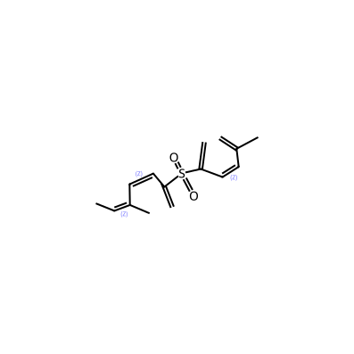 C=C(C)/C=C\C(=C)S(=O)(=O)C(=C)/C=C\C(C)=C/C